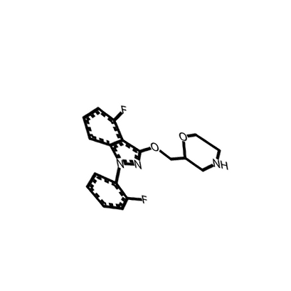 Fc1ccccc1-n1nc(OCC2CNCCO2)c2c(F)cccc21